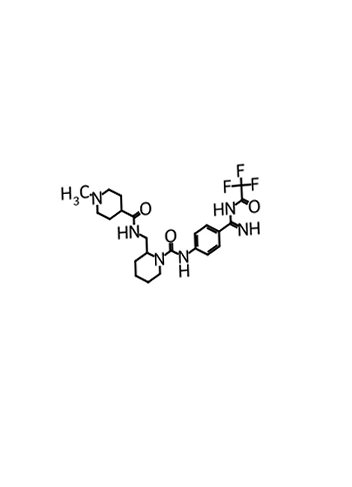 CN1CCC(C(=O)NCC2CCCCN2C(=O)Nc2ccc(C(=N)NC(=O)C(F)(F)F)cc2)CC1